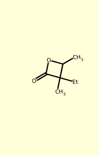 CCC1(C)C(=O)OC1C